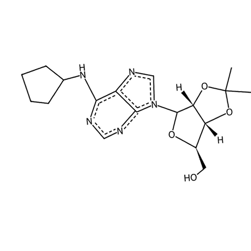 CC1(C)O[C@@H]2[C@@H](CO)OC(n3cnc4c(NC5CCCC5)ncnc43)[C@@H]2O1